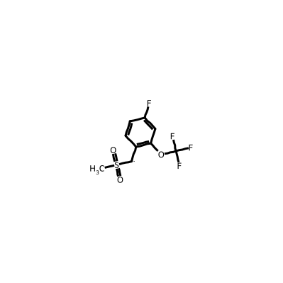 CS(=O)(=O)[CH]c1ccc(F)cc1OC(F)(F)F